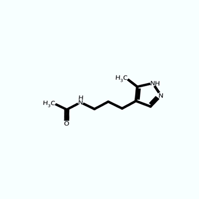 CC(=O)NCCCc1cn[nH]c1C